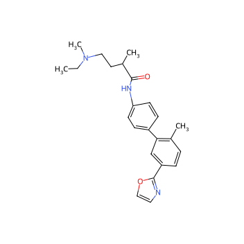 CCN(C)CCC(C)C(=O)Nc1ccc(-c2cc(-c3ncco3)ccc2C)cc1